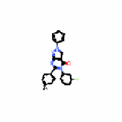 CC(C)c1ccc(-c2nc3nn(-c4ccccc4)cc3c(=O)n2-c2cccc(F)c2)cc1